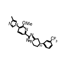 COc1nc(-c2nc3n(n2)CC[C@H](c2cccc(C(F)(F)F)c2)C3)ccc1-n1cnc(C)c1